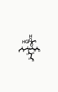 CC(=O)O.CCCCP(CCCC)CCCC.Cl